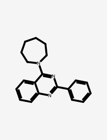 c1ccc(-c2nc(N3CCCCCC3)c3ccccc3n2)cc1